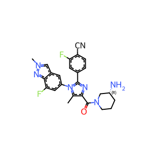 Cc1c(C(=O)N2CCC[C@@H](N)C2)nc(-c2ccc(C#N)c(F)c2)n1-c1cc(F)c2nn(C)cc2c1